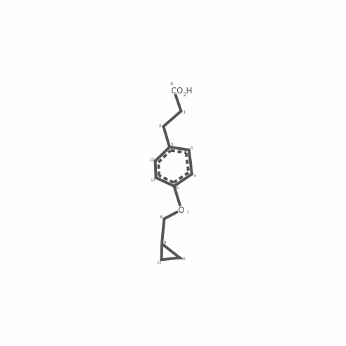 O=C(O)CCc1ccc(OCC2CC2)cc1